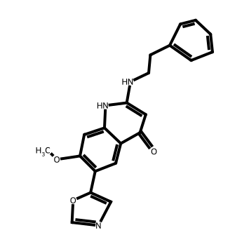 COc1cc2[nH]c(NCCc3ccccc3)cc(=O)c2cc1-c1cnco1